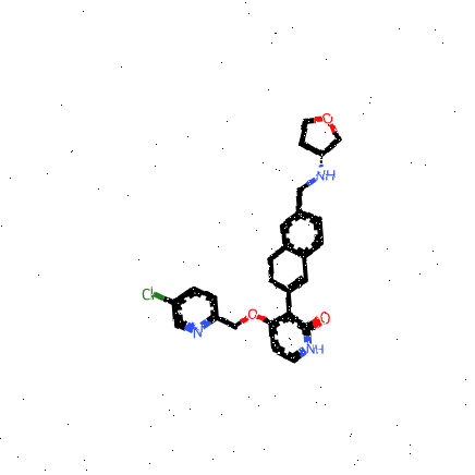 O=c1[nH]ccc(OCc2ccc(Cl)cn2)c1C1=Cc2ccc(CN[C@@H]3CCOC3)cc2CC1